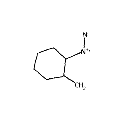 CC1CCCCC1[N+][N]